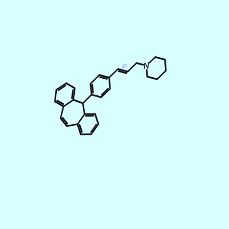 C1=Cc2ccccc2C(c2ccc(/C=C/CN3CCCCC3)cc2)c2ccccc21